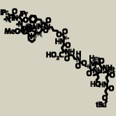 CC[C@H](C)[C@@H]([C@@H](CC(=O)N1CCC[C@H]1[C@H](OC)[C@@H](C)C(=O)N[C@@H](Cc1ccccc1)C(=O)NCCCOC(=O)[C@H](C)NC(=O)C[C@H](NC(=O)CCNC(=O)OC[C@H](NC(C)(CC)C(=O)CNC(C)(CC)C(=O)CCNC(=O)CCOCC(C)(C)C)C(=O)NC(C)(C)CCO)C(=O)O)OC)N(C)C(=O)C(NC(=O)C(C(C)C)N(C)C)C(C)C